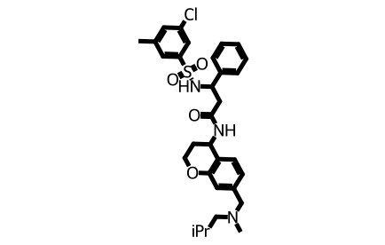 Cc1cc(Cl)cc(S(=O)(=O)NC(CC(=O)NC2CCOc3cc(CN(C)CC(C)C)ccc32)c2ccccc2)c1